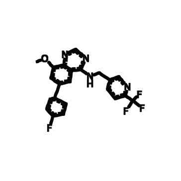 COc1cc(-c2ccc(F)cc2)cc2c(NCc3ccc(C(F)(F)F)nc3)ncnc12